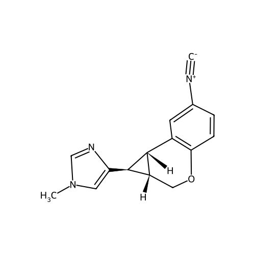 [C-]#[N+]c1ccc2c(c1)[C@@H]1[C@H](CO2)[C@H]1c1cn(C)cn1